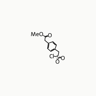 COC(=O)Cc1ccc(CS(=O)(=O)Cl)cc1